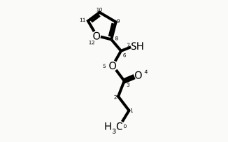 CCCC(=O)OC(S)c1ccco1